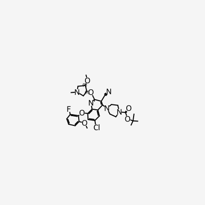 COc1cccc(F)c1Oc1cc(Cl)cc2c(N3CCN(C(=O)OC(C)(C)C)CC3)c(C#N)c(O[C@@H]3CN(C)C[C@H]3OC)nc12